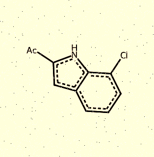 CC(=O)c1cc2cccc(Cl)c2[nH]1